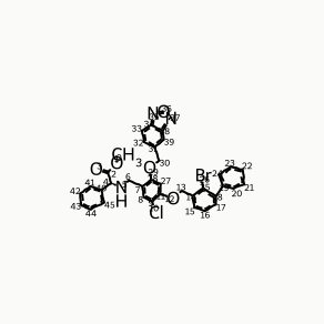 COC(=O)[C@@H](NCc1cc(Cl)c(OCc2cccc(-c3ccccc3)c2Br)cc1OCc1ccc2nonc2c1)c1ccccc1